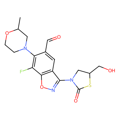 CC1CN(c2c(C=O)cc3c(N4CC(CO)SC4=O)noc3c2F)CCO1